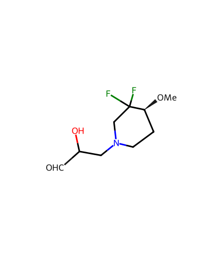 CO[C@H]1CCN(CC(O)C=O)CC1(F)F